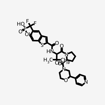 CC(C)(C)C(NC(=O)c1cc2cc(C(F)(F)P(=O)(O)O)ccc2s1)C(=O)N1CCC[C@H]1C(=O)N1CCOC(c2ccncc2)C1